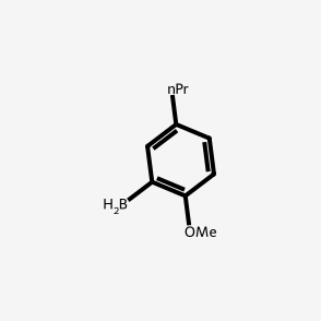 Bc1cc(CCC)ccc1OC